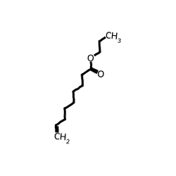 C=CCCCCCCC(=O)OCCC